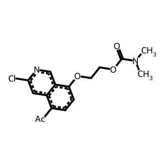 CC(=O)c1ccc(OCCOC(=O)N(C)C)c2cnc(Cl)cc12